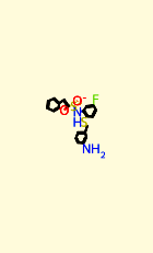 Nc1cccc(CSc2ccc(F)cc2N[S+]([O-])c2cc3ccccc3o2)c1